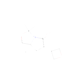 CC1(C)OC[C@@H]2C[C@@H](C3COC3)C(=O)N21